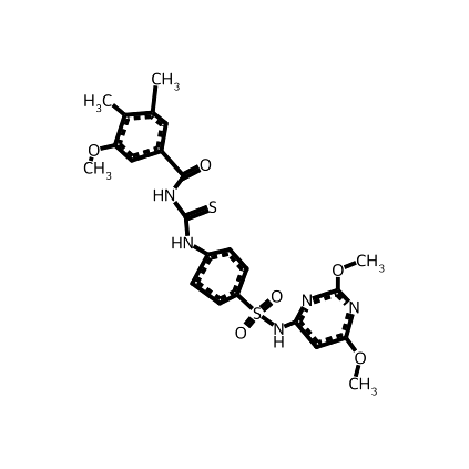 COc1cc(NS(=O)(=O)c2ccc(NC(=S)NC(=O)c3cc(C)c(C)c(OC)c3)cc2)nc(OC)n1